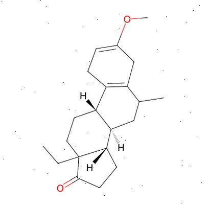 CCC12CC[C@@H]3C4=C(CC(OC)=CC4)C(C)C[C@H]3[C@@H]1CCC2=O